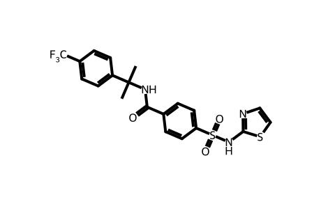 CC(C)(NC(=O)c1ccc(S(=O)(=O)Nc2nccs2)cc1)c1ccc(C(F)(F)F)cc1